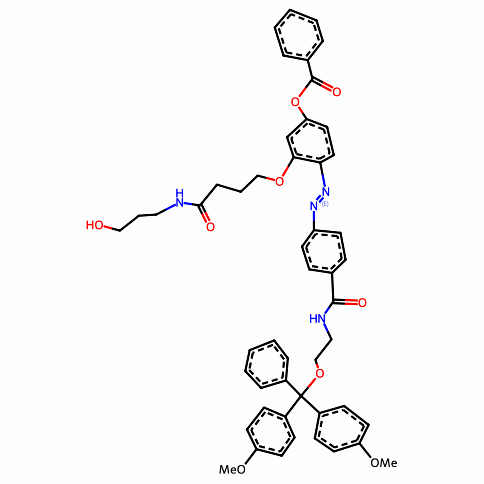 COc1ccc(C(OCCNC(=O)c2ccc(/N=N/c3ccc(OC(=O)c4ccccc4)cc3OCCCC(=O)NCCCO)cc2)(c2ccccc2)c2ccc(OC)cc2)cc1